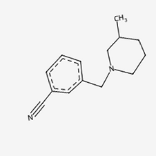 CC1CCCN(Cc2cccc(C#N)c2)C1